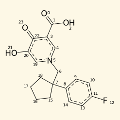 O=C(O)c1cn(CC2(c3ccc(F)cc3)CCCC2)cc(O)c1=O